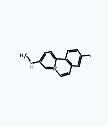 CPc1ccc2c3ccc(I)cc3cc[n+]2c1